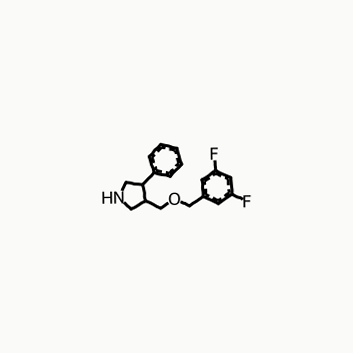 Fc1cc(F)cc(COCC2CNCC2c2ccccc2)c1